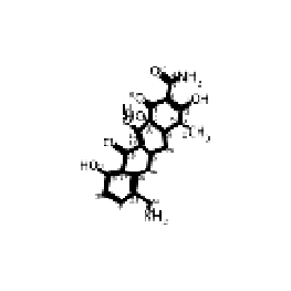 C[C@@H]1C(O)=C(C(N)=O)C(=O)[C@@]2(O)C(O)=C3C(=O)c4c(O)ccc(CN)c4CC3CC12